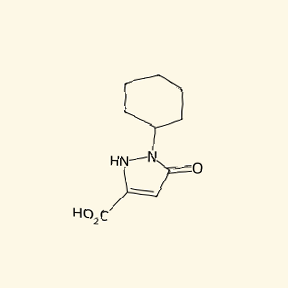 O=C(O)c1cc(=O)n(C2CCCCC2)[nH]1